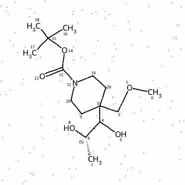 COCC1(C(O)[C@H](C)O)CCN(C(=O)OC(C)(C)C)CC1